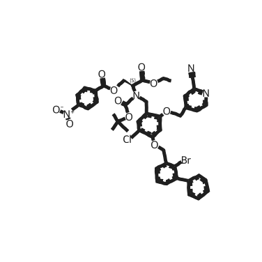 CCOC(=O)[C@H](COC(=O)c1ccc([N+](=O)[O-])cc1)N(Cc1cc(Cl)c(OCc2cccc(-c3ccccc3)c2Br)cc1OCc1ccnc(C#N)c1)C(=O)OC(C)(C)C